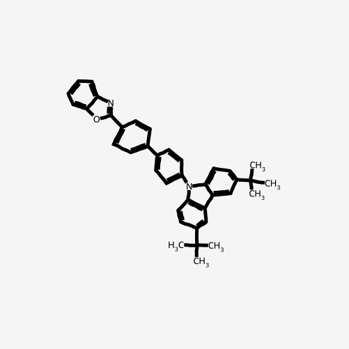 CC(C)(C)c1ccc2c(c1)c1cc(C(C)(C)C)ccc1n2-c1ccc(-c2ccc(-c3nc4ccccc4o3)cc2)cc1